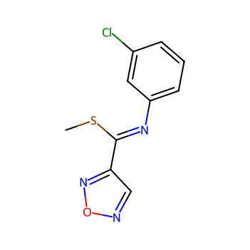 CSC(=Nc1cccc(Cl)c1)c1cnon1